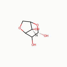 OC1C2OCC(O[C@@H]1O)[C@H]2O